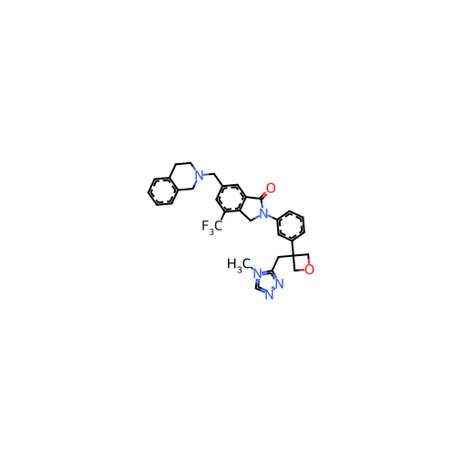 Cn1cnnc1CC1(c2cccc(N3Cc4c(cc(CN5CCc6ccccc6C5)cc4C(F)(F)F)C3=O)c2)COC1